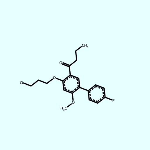 CCCC(=O)c1cc(-c2ccc(F)cc2)c(OC)cc1OCCCCl